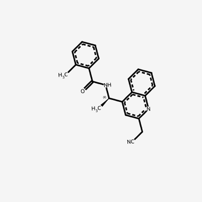 Cc1ccccc1C(=O)N[C@H](C)c1cc(CC#N)nc2ccccc12